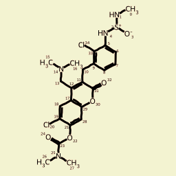 CN[S+]([O-])Nc1cccc(Cc2c(CN(C)C)c3cc(Cl)c(OC(=O)N(C)C)cc3oc2=O)c1Cl